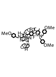 COc1ccc(CNc2nccnc2[C@@H](C)N2CCOc3c(Cl)c(-c4nc(N(Cc5ccc(OC)cc5)Cc5ccc(OC)cc5)cc(C)c4C(F)(F)F)c(F)c4nc(OC[C@@H]5CC[C@H]6COCCN65)nc2c34)cc1